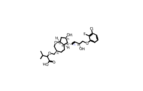 CC(C)C(OC[C@@H]1CC[C@@H]2[C@@H](/C=C/[C@@H](O)COc3cccc(Cl)c3F)[C@H](O)C[C@@H]2OC1)C(=O)O